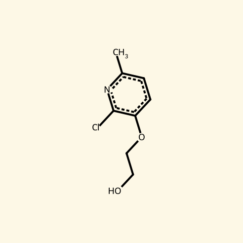 Cc1ccc(OCCO)c(Cl)n1